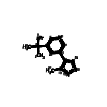 CCCC(C)(C)c1cncc(-c2nnnn2C)c1